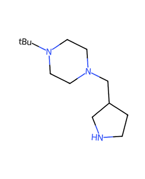 CC(C)(C)N1CCN(CC2CCNC2)CC1